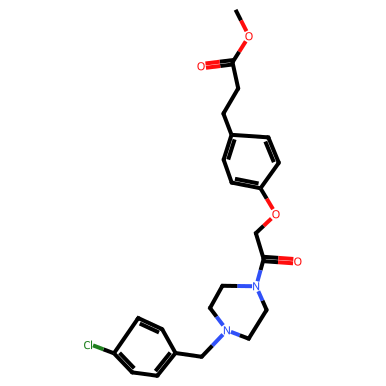 COC(=O)CCc1ccc(OCC(=O)N2CCN(Cc3ccc(Cl)cc3)CC2)cc1